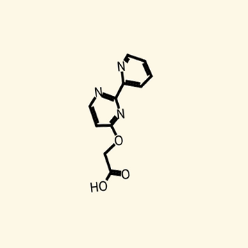 O=C(O)COc1ccnc(-c2ccccn2)n1